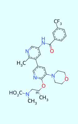 Cc1ncc(NC(=O)c2cccc(C(F)(F)F)c2)cc1-c1cnc(O[C@H](C)CN(C)C(=O)O)c(N2CCOCC2)c1